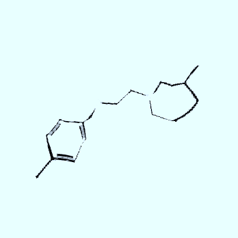 Cc1ccc(OCCN2CCCC(C)C2)cc1